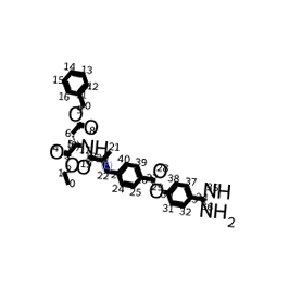 CCOC(=O)[C@H](CC(=O)OCc1ccccc1)NC(=O)/C(C)=C/c1ccc(C(=O)Oc2ccc(C(=N)N)cc2)cc1